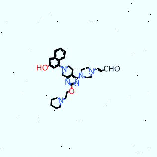 O=CC=CN1CCN(c2nc(OCCN3CCCCC3)nc3c2CCN(c2cc(O)cc4ccccc24)C3)CC1